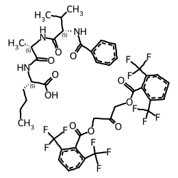 CCCC[C@H](NC(=O)[C@H](C)NC(=O)[C@@H](NC(=O)c1ccccc1)C(C)C)C(=O)O.O=C(COC(=O)c1c(C(F)(F)F)cccc1C(F)(F)F)COC(=O)c1c(C(F)(F)F)cccc1C(F)(F)F